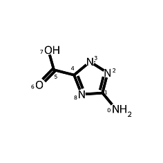 NC1=N[N]C(C(=O)O)=N1